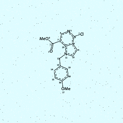 COC(=O)c1cnc(Cl)c2ccn(Cc3ccc(OC)cc3)c12